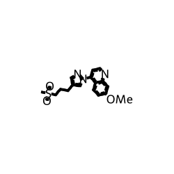 COc1ccc2c(-n3cc(CCCS(C)(=O)=O)cn3)ccnc2c1